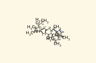 CCC(C)c1ccc(C(C(C)CC)C(C)NC)cc1CC/C(C)=C(C)/C=C\C(C)CCC(C)C